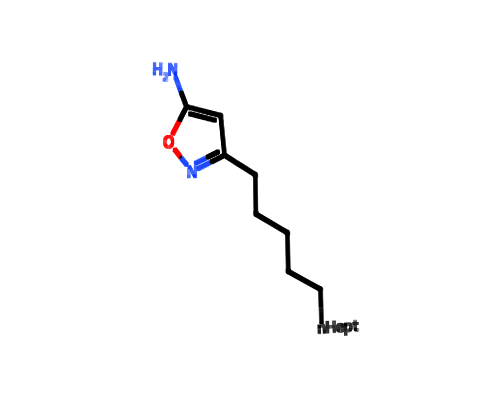 CCCCCCCCCCCCc1cc(N)on1